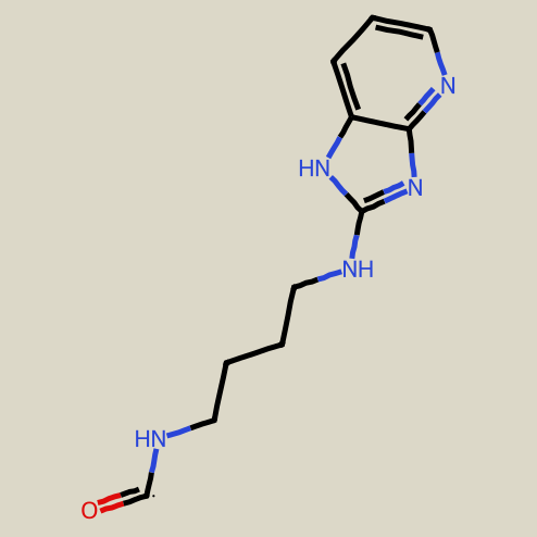 O=[C]NCCCCNc1nc2ncccc2[nH]1